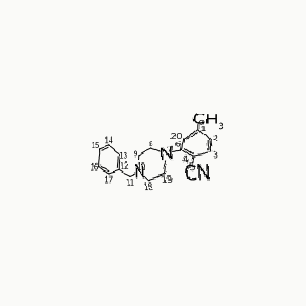 Cc1ccc(C#N)c(N2CCN(Cc3ccccc3)CC2)c1